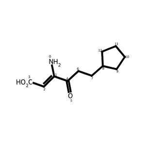 NC(=CC(=O)O)C(=O)CCC1CCCC1